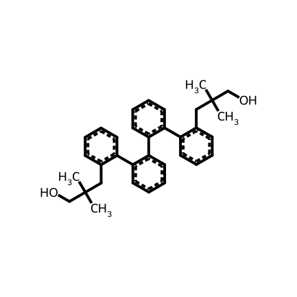 CC(C)(CO)Cc1ccccc1-c1ccccc1-c1ccccc1-c1ccccc1CC(C)(C)CO